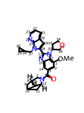 COc1cc(C(=O)N2C[C@H]3CC4C[C@@H]2[C@H]43)cc2nc(-c3cc4cccnc4n3CC3CC3)n([C@H]3CCOC3)c12